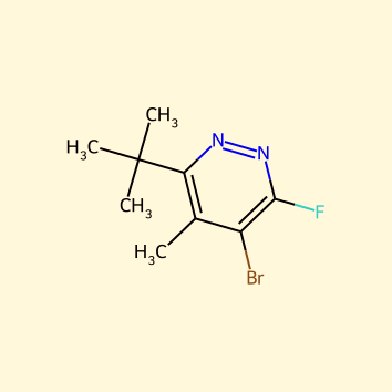 Cc1c(C(C)(C)C)nnc(F)c1Br